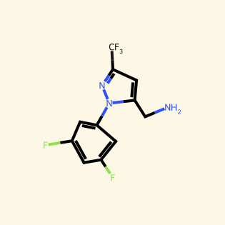 NCc1cc(C(F)(F)F)nn1-c1cc(F)cc(F)c1